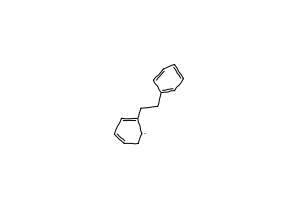 [CH]1CC=CC=C1CCc1ccccc1